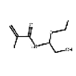 C=C(C)C(=O)NC(CO)OCC